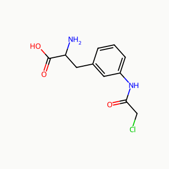 NC(Cc1cccc(NC(=O)CCl)c1)C(=O)O